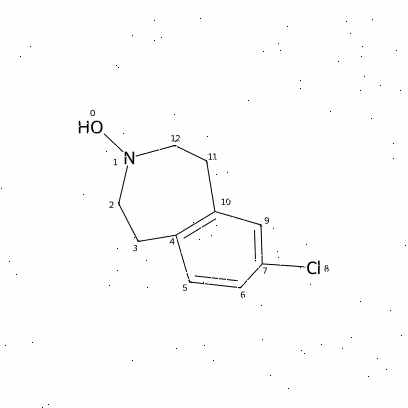 ON1CCc2ccc(Cl)cc2CC1